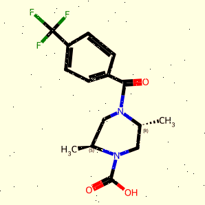 C[C@@H]1CN(C(=O)O)[C@@H](C)CN1C(=O)c1ccc(C(F)(F)F)cc1